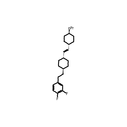 CCC[C@H]1CC[C@H](C=C[C@H]2CC[C@H](CCc3ccc(F)c(F)c3)CC2)CC1